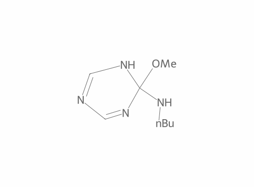 CCCCNC1(OC)N=CN=CN1